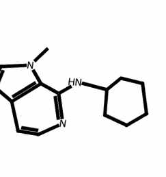 Cn1ccc2ccnc(NC3CCCCC3)c21